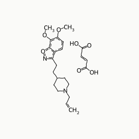 C=CCN1CCC(CCc2noc3c(OC)c(OC)ccc23)CC1.O=C(O)C=CC(=O)O